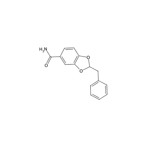 NC(=O)c1ccc2c(c1)OC(Cc1ccccc1)O2